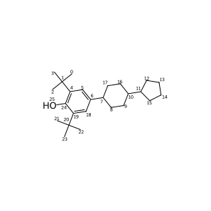 CC(C)(C)c1cc(C2CCC(C3CCCC3)CC2)cc(C(C)(C)C)c1O